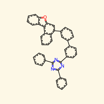 c1ccc(-c2nc(-c3ccccc3)nc(-c3cccc(-c4cccc(-c5cc6oc7ccccc7c6c6ccccc56)c4)c3)n2)cc1